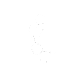 COc1ccc(C2(O)CCC3(CC2)OCCO3)cc1F